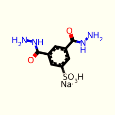 NNC(=O)c1cc(C(=O)NN)cc(S(=O)(=O)O)c1.[Na]